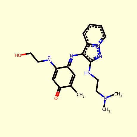 CC1=C/C(=N\c2c(NCCN(C)C)nn3ccccc23)C(NCCO)=CC1=O